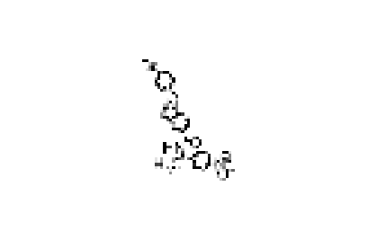 CC(NC(=O)c1ccc2c(ccn2Cc2ccc(Br)cc2)c1)c1ccc([N+](=O)[O-])cc1